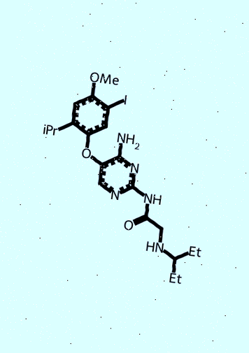 CCC(CC)NCC(=O)Nc1ncc(Oc2cc(I)c(OC)cc2C(C)C)c(N)n1